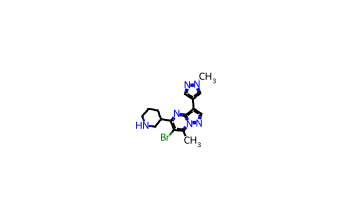 Cc1c(Br)c(C2CCCNC2)nc2c(-c3cnn(C)c3)cnn12